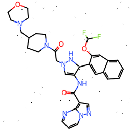 O=C(NC1=CN(CC(=O)N2CCC(CN3CCOCC3)CC2)NC1c1cc2ccccc2cc1OC(F)F)c1cnn2cccnc12